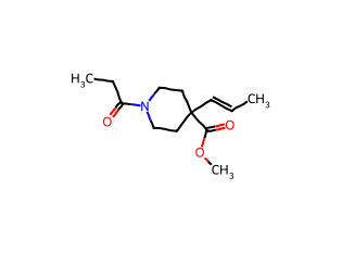 C/C=C/C1(C(=O)OC)CCN(C(=O)CC)CC1